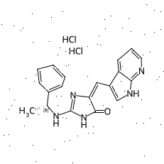 C[C@@H](NC1=NC(=Cc2c[nH]c3ncccc23)C(=O)N1)c1ccccc1.Cl.Cl